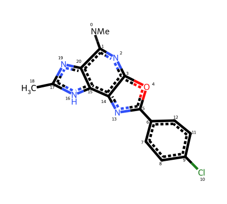 CNc1nc2oc(-c3ccc(Cl)cc3)nc2c2[nH]c(C)nc12